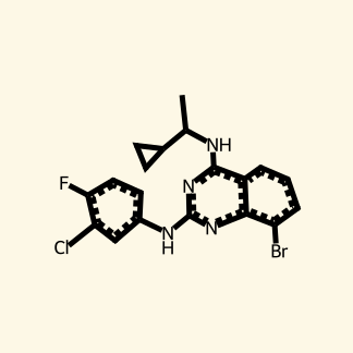 CC(Nc1nc(Nc2ccc(F)c(Cl)c2)nc2c(Br)cccc12)C1CC1